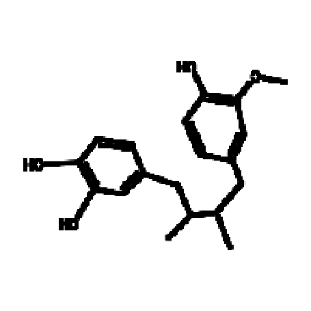 COc1cc(CC(C)C(C)Cc2ccc(O)c(O)c2)ccc1O